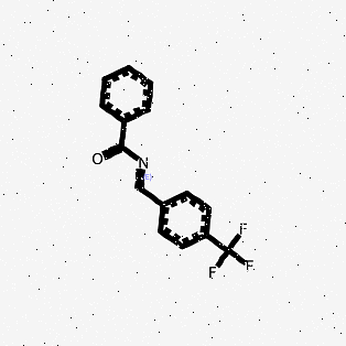 O=C(/N=C/c1ccc(C(F)(F)F)cc1)c1ccccc1